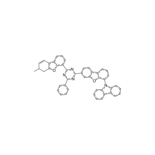 CC1C=Cc2c(oc3c(-c4nc(-c5ccccc5)nc(-c5ccc6c(c5)oc5c(-n7c8ccccc8c8ccccc87)cccc56)n4)cccc23)C1